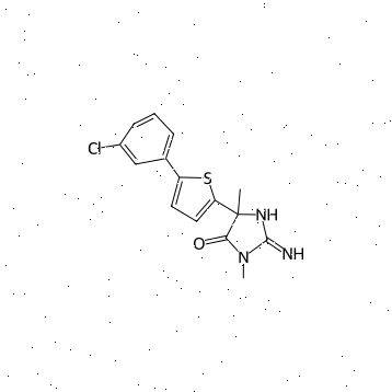 CN1C(=N)NC(C)(c2ccc(-c3cccc(Cl)c3)s2)C1=O